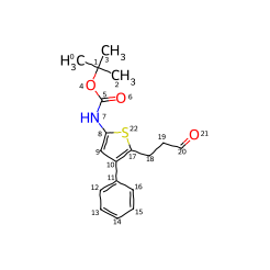 CC(C)(C)OC(=O)Nc1cc(-c2ccccc2)c(CCC=O)s1